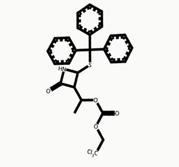 CC(OC(=O)OCC(Cl)(Cl)Cl)C1C(=O)NC1SC(c1ccccc1)(c1ccccc1)c1ccccc1